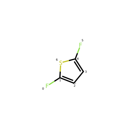 Fc1[c]cc(F)s1